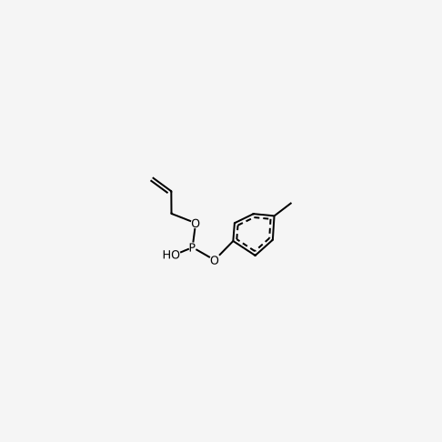 C=CCOP(O)Oc1ccc(C)cc1